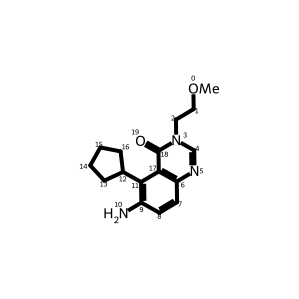 COCCn1cnc2ccc(N)c(C3CCCC3)c2c1=O